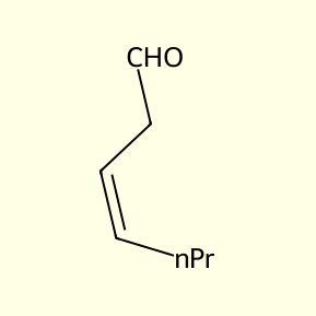 CCC/C=C\CC=O